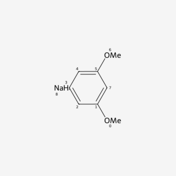 COc1c[c]cc(OC)c1.[NaH]